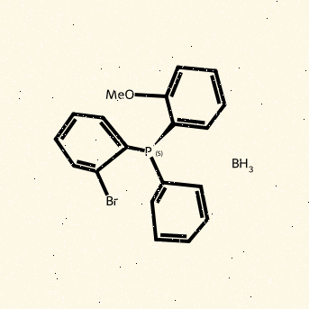 B.COc1ccccc1[P@@](c1ccccc1)c1ccccc1Br